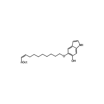 CCCCCCCC/C=C\CCCCCCCCOc1cc2cc[nH]c2cc1O